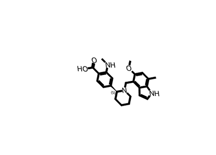 CNc1cc([C@@H]2CCCCN2Cc2c(OC)cc(C)c3[nH]ccc23)ccc1C(=O)O